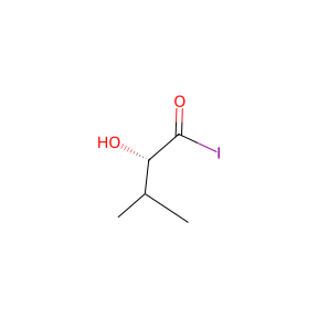 CC(C)[C@H](O)C(=O)I